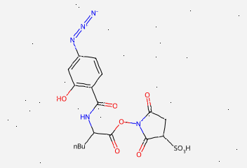 CCCCC(NC(=O)c1ccc(N=[N+]=[N-])cc1O)C(=O)ON1C(=O)CC(S(=O)(=O)O)C1=O